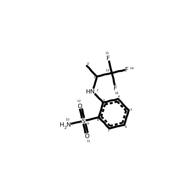 CC(Nc1ccccc1S(N)(=O)=O)C(F)(F)F